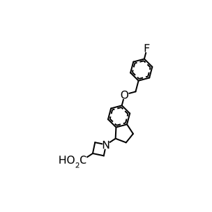 O=C(O)C1CN(C2CCc3cc(OCc4ccc(F)cc4)ccc32)C1